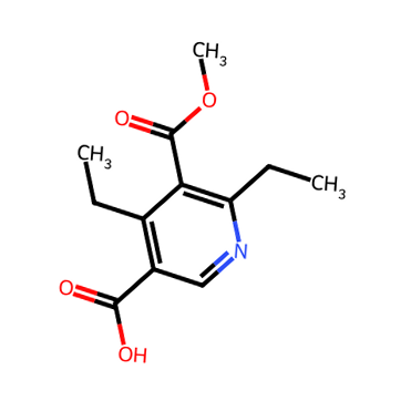 CCc1ncc(C(=O)O)c(CC)c1C(=O)OC